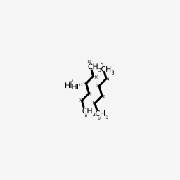 CCCCCC.CCCCCC.I.I